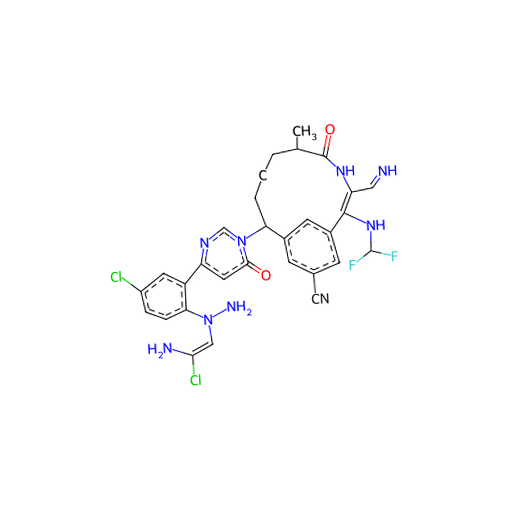 CC1CCCC(n2cnc(-c3cc(Cl)ccc3N(N)/C=C(\N)Cl)cc2=O)c2cc(C#N)cc(c2)/C(NC(F)F)=C(/C=N)NC1=O